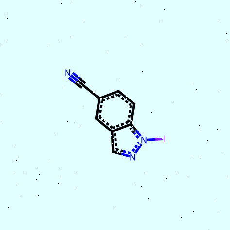 N#Cc1ccc2c(cnn2I)c1